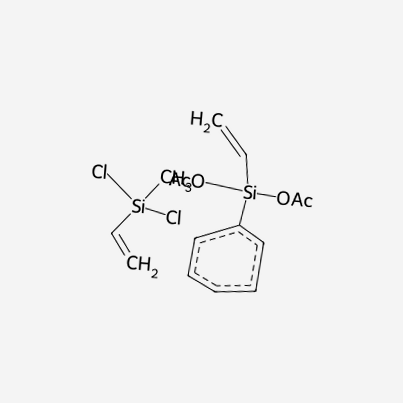 C=C[Si](C)(Cl)Cl.C=C[Si](OC(C)=O)(OC(C)=O)c1ccccc1